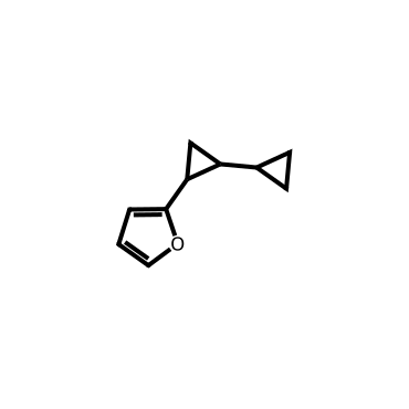 c1coc(C2CC2C2CC2)c1